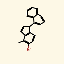 Cc1c(Br)ccc2c1C=CC2c1cccc2ccccc12